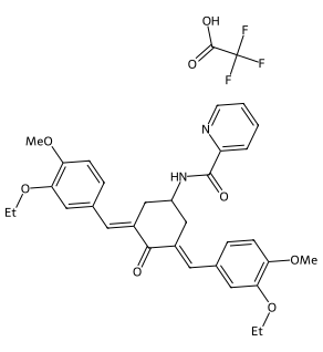 CCOc1cc(/C=C2\CC(NC(=O)c3ccccn3)C/C(=C\c3ccc(OC)c(OCC)c3)C2=O)ccc1OC.O=C(O)C(F)(F)F